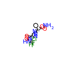 COC[C@H](c1cc2nc([C@@H](CC(C)(C)OC(N)=O)C3CCCCCC3)cn2nc1Cl)N1C[C@@H](C(F)(F)F)NC1=O